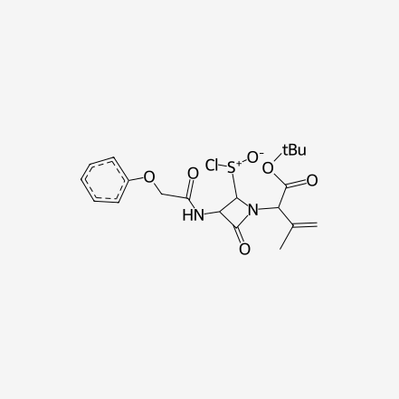 C=C(C)C(C(=O)OC(C)(C)C)N1C(=O)C(NC(=O)COc2ccccc2)C1[S+]([O-])Cl